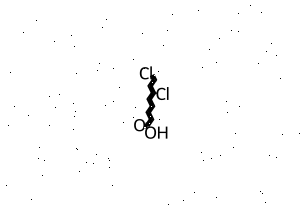 O=C(O)CCCC[C@@H](Cl)CCCl